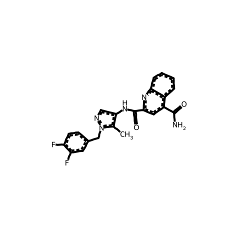 Cc1c(NC(=O)c2cc(C(N)=O)c3ccccc3n2)cnn1Cc1ccc(F)c(F)c1